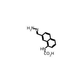 NN=Cc1ccc2cccc(NC(=O)O)c2c1